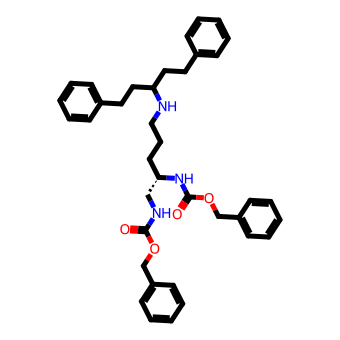 O=C(NC[C@H](CCCNC(CCc1ccccc1)CCc1ccccc1)NC(=O)OCc1ccccc1)OCc1ccccc1